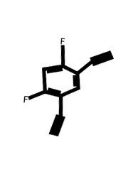 C#Cc1cc(C#C)c(F)cc1F